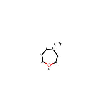 CC(C)[C@H]1CCCOCC1